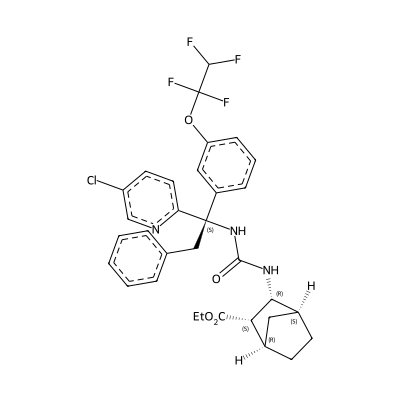 CCOC(=O)[C@H]1[C@@H]2CC[C@@H](C2)[C@H]1NC(=O)N[C@@](Cc1ccccc1)(c1cccc(OC(F)(F)C(F)F)c1)c1ccc(Cl)cn1